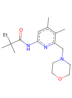 CCC(C)(C)C(=O)Nc1cc(C)c(C)c(CN2CCOCC2)n1